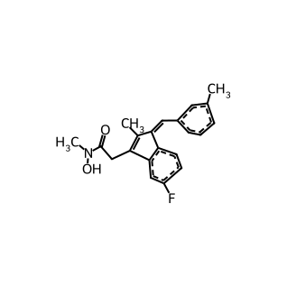 CC1=C(CC(=O)N(C)O)c2cc(F)ccc2/C1=C\c1cccc(C)c1